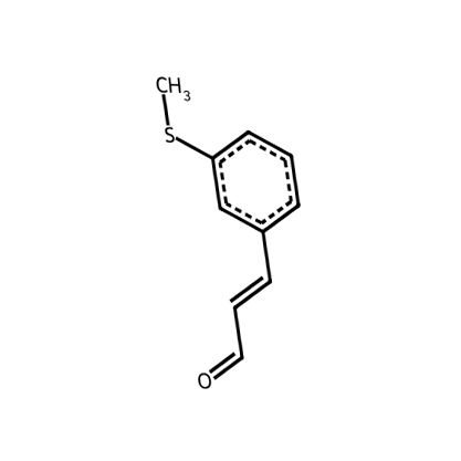 CSc1cccc(C=CC=O)c1